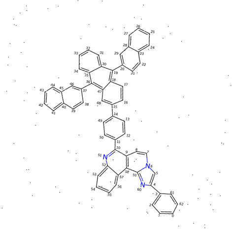 c1ccc(-c2cn3ccc4c(-c5ccc(-c6ccc7c(-c8ccc9ccccc9c8)c8ccccc8c(-c8ccc9ccccc9c8)c7c6)cc5)nc5ccccc5c4c3n2)cc1